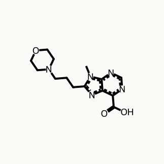 Cn1c(CCCN2CCOCC2)nc2c(C(=O)O)ncnc21